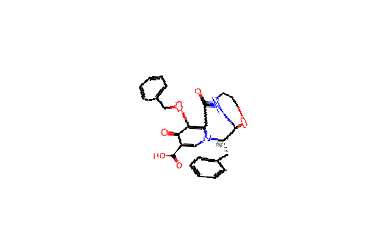 O=C(O)c1cn2c(c(OCc3ccccc3)c1=O)C(=O)N1CCOC1[C@@H]2Cc1ccccc1